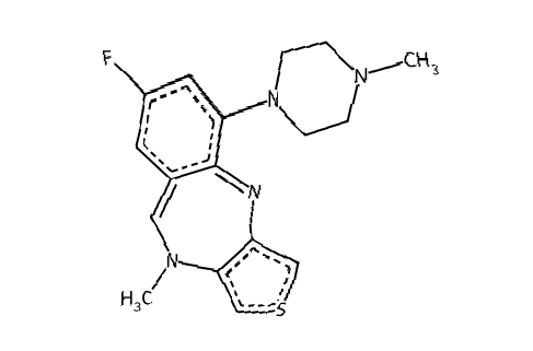 CN1CCN(c2cc(F)cc3c2=Nc2cscc2N(C)C=3)CC1